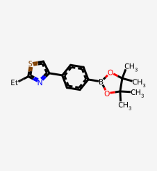 CCc1nc(-c2ccc(B3OC(C)(C)C(C)(C)O3)cc2)cs1